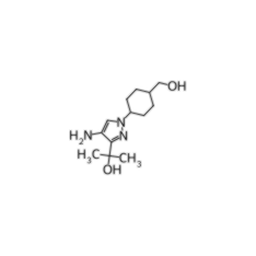 CC(C)(O)c1nn(C2CCC(CO)CC2)cc1N